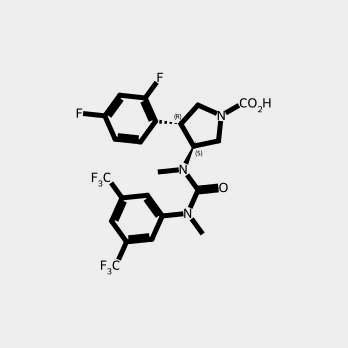 CN(C(=O)N(C)[C@@H]1CN(C(=O)O)C[C@H]1c1ccc(F)cc1F)c1cc(C(F)(F)F)cc(C(F)(F)F)c1